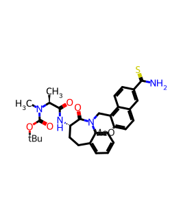 COc1ccc2cc(C(N)=S)ccc2c1CN1C(=O)[C@@H](NC(=O)[C@H](C)N(C)C(=O)OC(C)(C)C)CCc2ccccc21